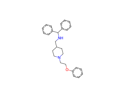 c1ccc(OCCN2CCC(CNC(c3ccccc3)c3ccccc3)CC2)cc1